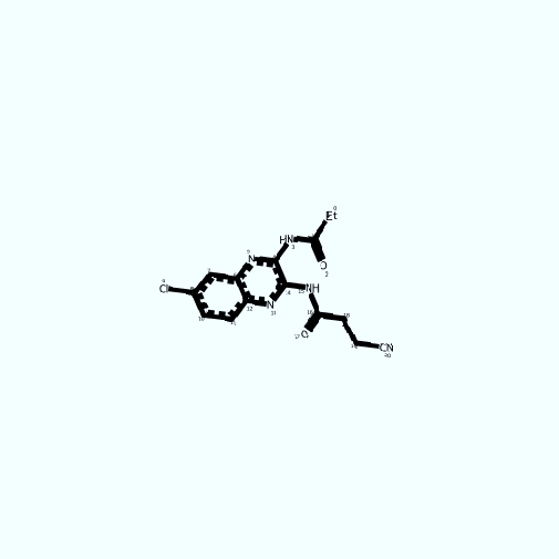 CCC(=O)Nc1nc2cc(Cl)ccc2nc1NC(=O)CCC#N